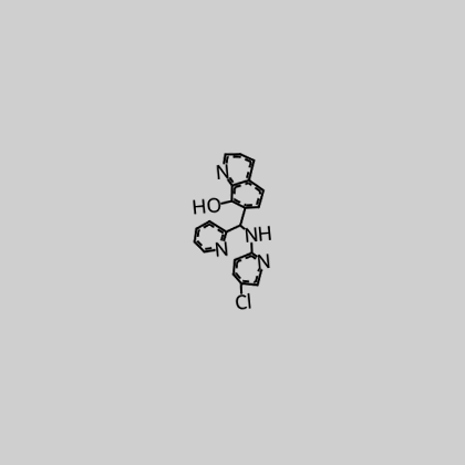 Oc1c(C(Nc2ccc(Cl)cn2)c2ccccn2)ccc2cccnc12